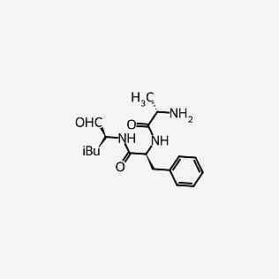 CC[C@H](C)[C@@H](C=O)NC(=O)[C@H](Cc1ccccc1)NC(=O)[C@H](C)N